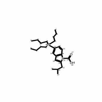 CCC[CH2][Sn]([CH2]CCC)([CH2]CCC)[c]1ccc2c(c1)cc(CC(C)C)n2C(=O)O